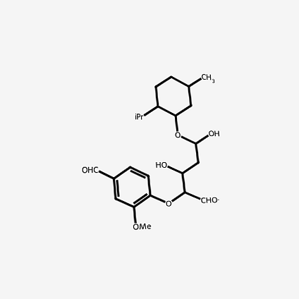 COc1cc(C=O)ccc1OC([C]=O)C(O)CC(O)OC1CC(C)CCC1C(C)C